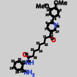 COc1ccc(-c2ccc(C(=O)CCCCCCC(=O)Nc3ccccc3N)cn2)cc1OC